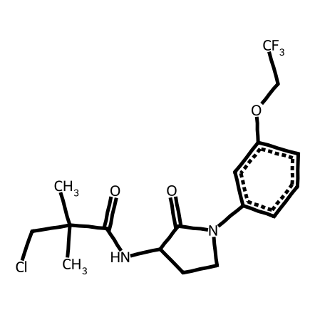 CC(C)(CCl)C(=O)NC1CCN(c2cccc(OCC(F)(F)F)c2)C1=O